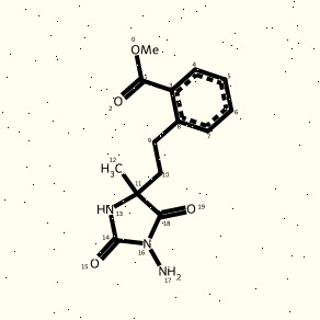 COC(=O)c1ccccc1CCC1(C)NC(=O)N(N)C1=O